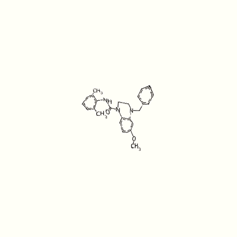 COc1ccc2c(c1)N(Cc1ccccc1)CCN2C(=O)Nc1c(C)cccc1C